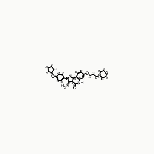 Nc1c2c(=O)[nH]c3cc(OCCCN4CCOCC4)ccc3c2nn1-c1ccc(OC2CCCC2)cc1